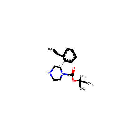 C=Cc1ccccc1[C@H]1CNCCN1C(=O)OC(C)(C)C